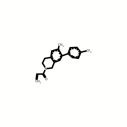 C=CC(=O)N1CCc2cc(C)c(-c3ccc(C(F)(F)F)cc3)cc2C1